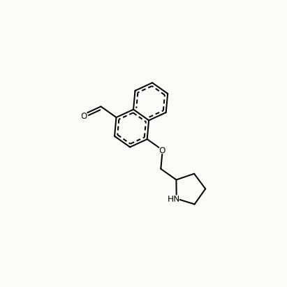 O=Cc1ccc(OCC2CCCN2)c2ccccc12